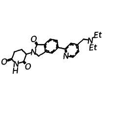 CCN(CC)Cc1ccnc(-c2ccc3c(c2)CN(C2CCC(=O)NC2=O)C3=O)c1